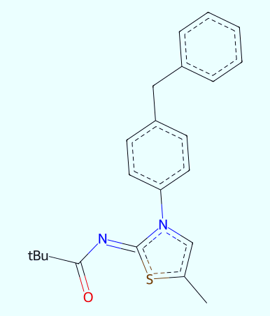 Cc1cn(-c2ccc(Cc3ccccc3)cc2)/c(=N/C(=O)C(C)(C)C)s1